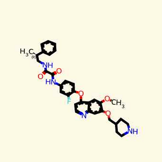 COc1cc2c(Oc3ccc(NC(=O)C(=O)NC[C@H](C)c4ccccc4)cc3F)ccnc2cc1OCC1CCNCC1